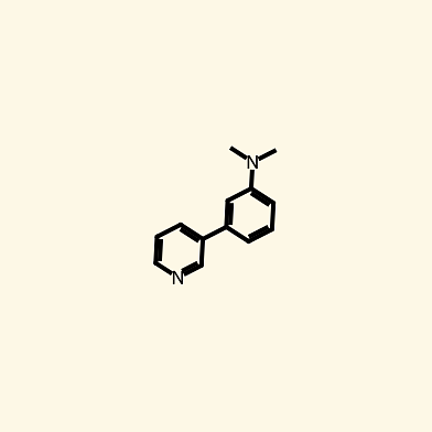 CN(C)c1cccc(-c2cccnc2)c1